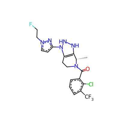 C[C@H]1C2=C(CCN1C(=O)c1cccc(C(F)(F)F)c1Cl)N(c1ccn(CCF)n1)NN2